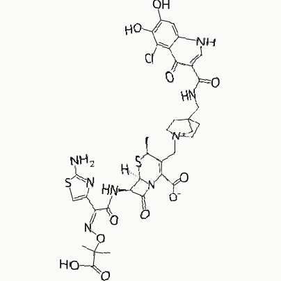 C[C@@H]1S[C@@H]2[C@H](NC(=O)/C(=N\OC(C)(C)C(=O)O)c3csc(N)n3)C(=O)N2C(C(=O)[O-])=C1C[N+]12CCC(CNC(=O)c3c[nH]c4cc(O)c(O)c(Cl)c4c3=O)(CC1)C2